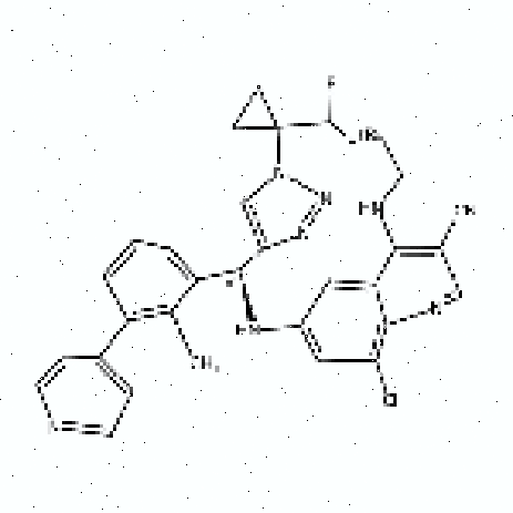 Cc1c(-c2ccncc2)cccc1[C@H](Nc1cc(Cl)c2ncc(C#N)c(NCC(C)(C)C)c2c1)c1cn(C2(C(F)F)CC2)nn1